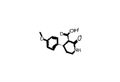 COc1ccc([C@H]2CCNC(=O)[C@@H]2C(=O)O)cc1